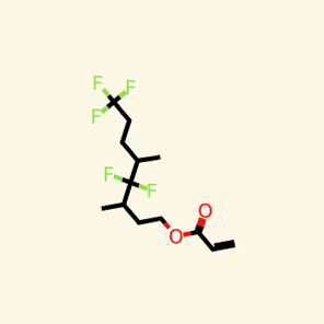 C=CC(=O)OCCC(C)C(F)(F)C(C)CCC(F)(F)F